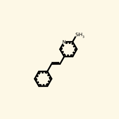 [SiH3]c1ccc(C=Cc2ccccc2)cn1